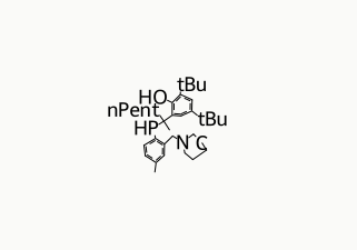 CCCCCC(C)(Pc1ccc(C)cc1CN1CCCCC1)c1cc(C(C)(C)C)cc(C(C)(C)C)c1O